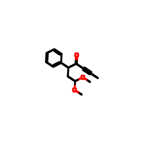 CC#CC(=O)C(CC(OC)OC)c1ccccc1